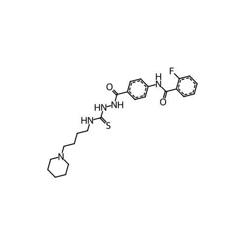 O=C(NNC(=S)NCCCCN1CCCCC1)c1ccc(NC(=O)c2ccccc2F)cc1